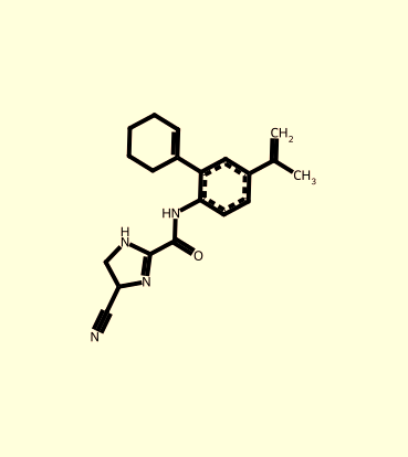 C=C(C)c1ccc(NC(=O)C2=NC(C#N)CN2)c(C2=CCCCC2)c1